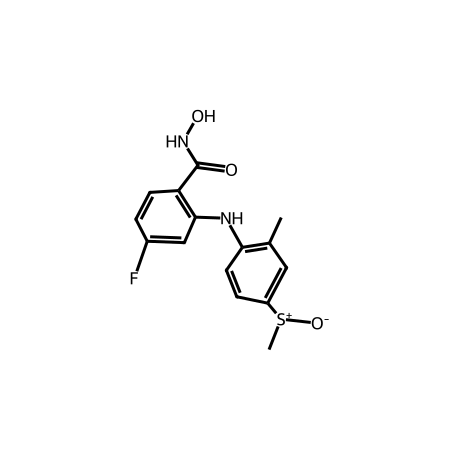 Cc1cc([S+](C)[O-])ccc1Nc1cc(F)ccc1C(=O)NO